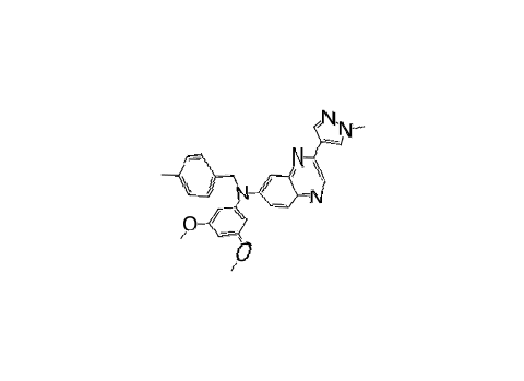 COc1cc(OC)cc(N(Cc2ccc(C)cc2)c2ccc3ncc(-c4cnn(C)c4)nc3c2)c1